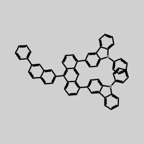 c1ccc(-c2ccc3ccc(-c4c5cccc(-c6ccc7c(c6)c6ccccc6n7-c6ccccc6)c5cc5c(-c6ccc7c(c6)c6ccccc6n7-c6ccccc6)cccc45)cc3c2)cc1